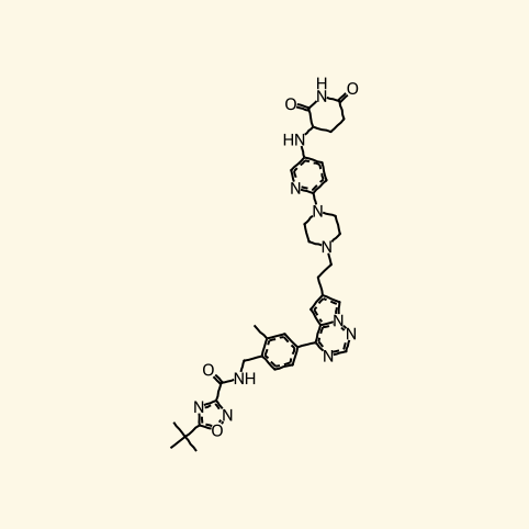 Cc1cc(-c2ncnn3cc(CCN4CCN(c5ccc(NC6CCC(=O)NC6=O)cn5)CC4)cc23)ccc1CNC(=O)c1noc(C(C)(C)C)n1